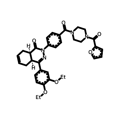 CCOc1ccc(C2=NN(c3ccc(C(=O)N4CCN(C(=O)c5ccco5)CC4)cc3)C(=O)[C@@H]3CC=CC[C@H]23)cc1OCC